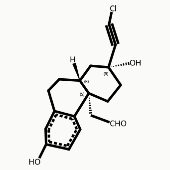 O=CC[C@@]12CC[C@](O)(C#CCl)C[C@H]1CCc1cc(O)ccc12